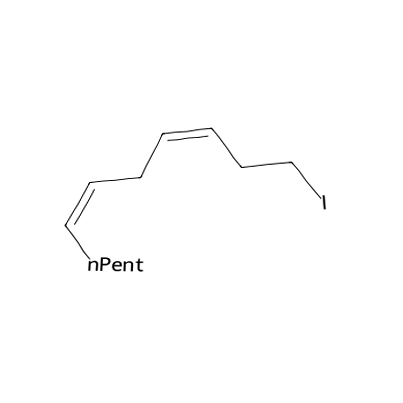 CCCCC/C=C\C/C=C\CCI